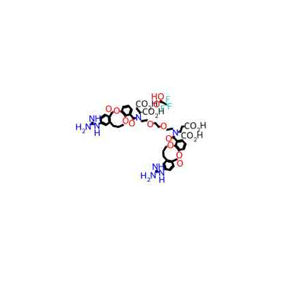 N=C(N)Nc1ccc2c(c1)CCCOc1c(cccc1C(=O)N(CCOCCOCCN(C(=O)c1cccc3c1OCCCc1cc(NC(=N)N)ccc1C(=O)O3)[C@H](CC(=O)O)C(=O)O)[C@H](CC(=O)O)C(=O)O)OC2=O.O=C(O)C(F)(F)F